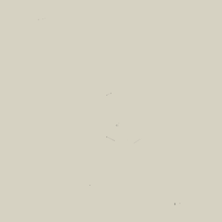 CCCCCCCCCCCCCCCCCCCCC(=O)OC[C@H](COC(=O)CCCCCCCCCCCCCCCCC)OC(=O)CCCCCCCCCCCCCCC